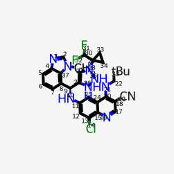 Cn1cnc2cccc([C@H](Nc3cc(Cl)c4ncc(C#N)c(NCC(C)(C)C)c4c3)C3=CN(C4(C(F)F)CC4)NN3)c21